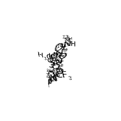 CS(=O)(=O)C(C(=O)NCC(=O)NC1CC1)c1nc2cc(OC(F)(F)F)c(-c3ccc(F)nc3)cc2s1